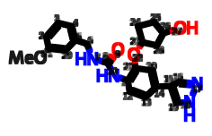 COc1cccc(CNC(=O)Nc2ccc(-c3cn[nH]c3)cc2OC2CCC(O)C2)c1